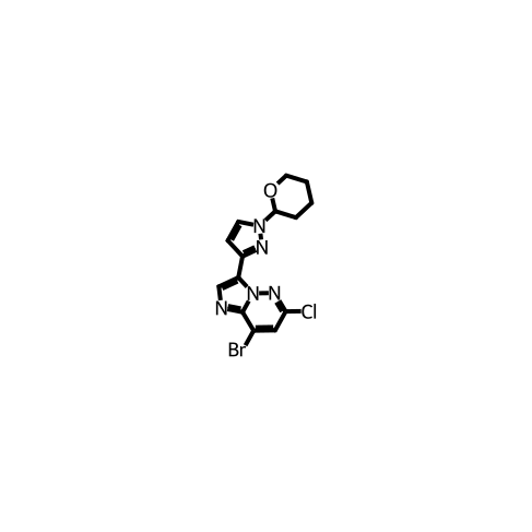 Clc1cc(Br)c2ncc(-c3ccn(C4CCCCO4)n3)n2n1